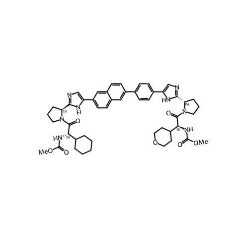 COC(=O)N[C@H](C(=O)N1CCC[C@H]1c1ncc(-c2ccc3cc(-c4ccc(-c5cnc([C@@H]6CCCN6C(=O)[C@@H](NC(=O)OC)C6CCOCC6)[nH]5)cc4)ccc3c2)[nH]1)C1CCCCC1